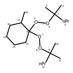 CCCC(C)(C)OOC1(OOC(C)(C)CCC)CCCCC1C